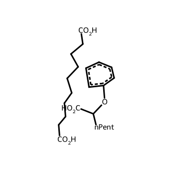 CCCCCC(Oc1ccccc1)C(=O)O.O=C(O)CCCCCCCCC(=O)O